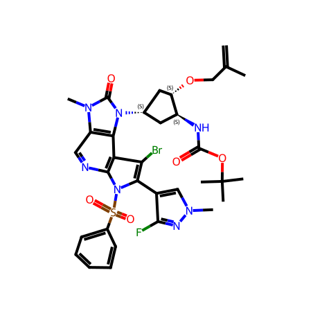 C=C(C)CO[C@H]1C[C@@H](n2c(=O)n(C)c3cnc4c(c(Br)c(-c5cn(C)nc5F)n4S(=O)(=O)c4ccccc4)c32)C[C@@H]1NC(=O)OC(C)(C)C